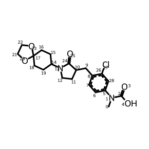 CN(C(=O)O)c1ccc(CC2CCN(C3CCC4(CC3)OCCO4)C2=O)c(Cl)c1